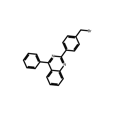 BrCc1ccc(-c2nc(-c3ccccc3)c3ccccc3n2)cc1